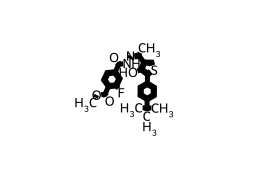 COC(=O)c1ccc(C(=O)NN=C(C)c2csc(-c3ccc(C(C)(C)C)cc3)c2O)cc1F